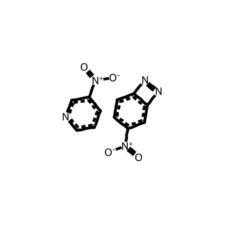 O=[N+]([O-])c1ccc2c(c1)N=N2.O=[N+]([O-])c1cccnc1